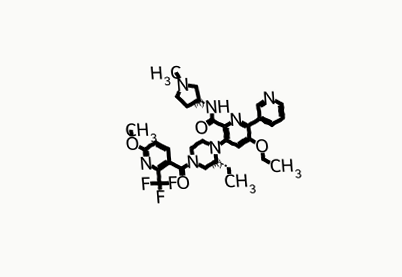 CCOc1cc(N2CCN(C(=O)c3ccc(OC)nc3C(F)(F)F)C[C@H]2CC)c(C(=O)N[C@@H]2CCN(C)C2)nc1-c1cccnc1